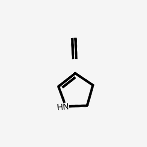 C1=CNCC1.C=C